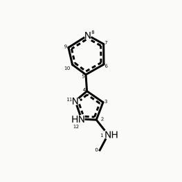 CNc1cc(-c2ccncc2)n[nH]1